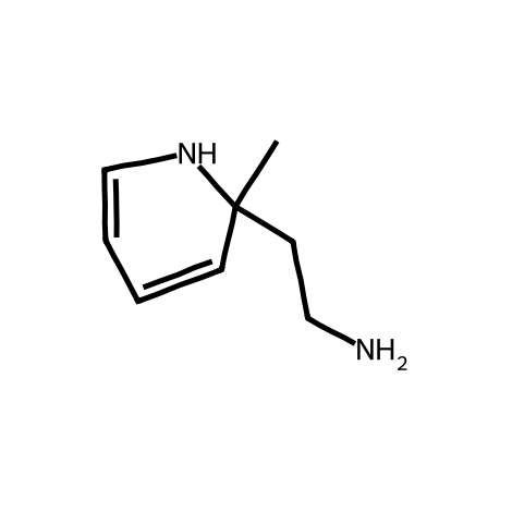 CC1(CCN)C=CC=CN1